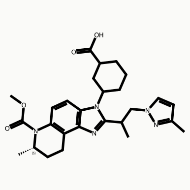 COC(=O)N1c2ccc3c(nc(C(C)Cn4ccc(C)n4)n3C3CCCC(C(=O)O)C3)c2CC[C@@H]1C